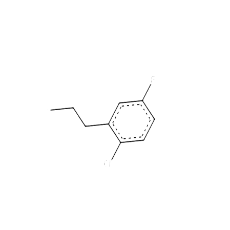 [CH2]CCc1cc(F)ccc1Cl